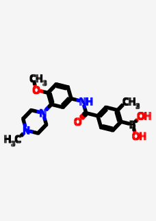 COc1ccc(NC(=O)c2ccc(B(O)O)c(C)c2)cc1N1CCN(C)CC1